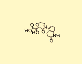 O=C1CCc2c(cccc2N2CCOC([C@@H](O)C(=O)O)C2=O)N1